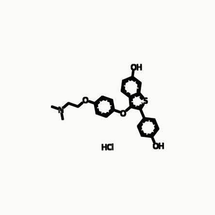 CN(C)CCOc1ccc(Oc2c(-c3ccc(O)cc3)sc3cc(O)ccc23)cc1.Cl